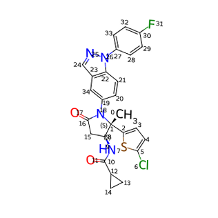 C[C@@]1(c2ccc(Cl)s2)[C@@H](NC(=O)C2CC2)CC(=O)N1c1ccc2c(cnn2-c2ccc(F)cc2)c1